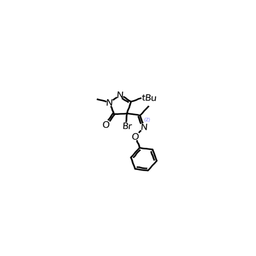 C/C(=N/Oc1ccccc1)C1(Br)C(=O)N(C)N=C1C(C)(C)C